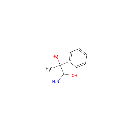 CC(O)(c1ccccc1)C(N)O